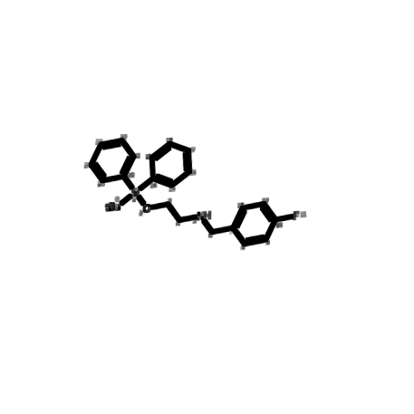 CC(C)(C)[Si](OCCNCc1ccc(F)cc1)(c1ccccc1)c1ccccc1